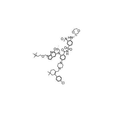 C[C@@H]1CN(c2cc(N3CCN(CC4=C(c5ccc(Cl)cc5)CC(C)(C)CC4)CC3)ccc2C(=O)NS(=O)(=O)c2ccc(NC[C@H]3COCCO3)c([N+](=O)[O-])c2)c2cc3ccn(COCC[Si](C)(C)C)c3nc2O1